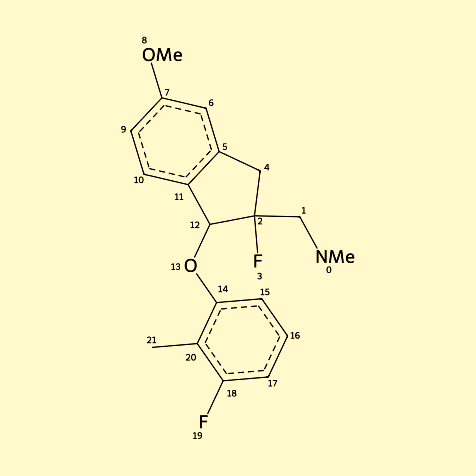 CNCC1(F)Cc2cc(OC)ccc2C1Oc1cccc(F)c1C